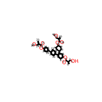 C=C(CO)C(=O)Oc1ccc(-c2ccc(-c3ccc(OC(=O)C(=C)COC)cc3)cc2)c(C2CCC(OC(=O)C(=C)COC)CC2)c1